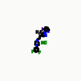 Cc1c(/C=C/CN2CCN(c3cc(F)cc(F)c3)CC2)cnn1-c1ncccc1I.Cl